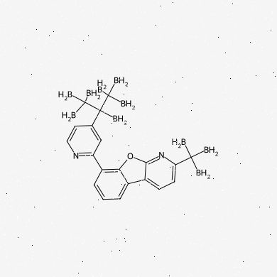 BC(B)(B)c1ccc2c(n1)oc1c(-c3cc(C(B)(C(B)(B)B)C(B)(B)B)ccn3)cccc12